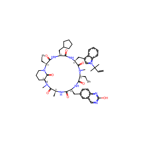 C=CC(C)(C)n1cc(C[C@@H]2NC(=O)[C@H](CC3CCCC3)NC(=O)[C@H](CC(C)C)N3CCC[C@@H](C3=O)N(C)C(=O)[C@H](C)NC(=O)[C@H](Cc3ccc4nc(O)ncc4c3)NC(=O)[C@H](CC(C)C)N(C)C2=O)c2ccccc21